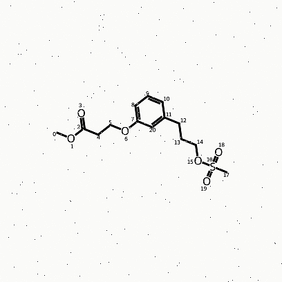 COC(=O)CCOc1cccc(CCCOS(C)(=O)=O)c1